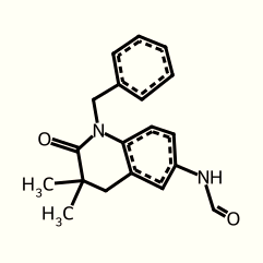 CC1(C)Cc2cc(NC=O)ccc2N(Cc2ccccc2)C1=O